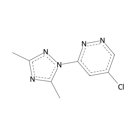 Cc1nc(C)n(-c2cc(Cl)cnn2)n1